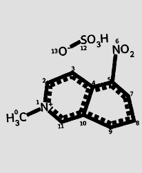 C[n+]1ccc2c([N+](=O)[O-])cccc2c1.O=S(=O)([O-])O